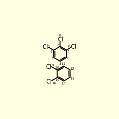 Clc1cccc(Cl)c1Cl.Clc1ccccc1Cl